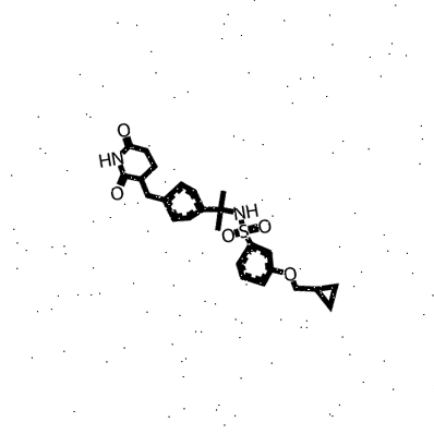 CC(C)(NS(=O)(=O)c1cccc(OCC2CC2)c1)c1ccc(CC2CCC(=O)NC2=O)cc1